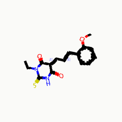 CCN1C(=O)/C(=C/C=C/c2ccccc2OC)C(=O)NC1=S